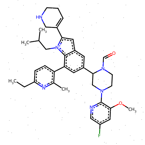 CCc1ccc(-c2cc(C3CN(c4ncc(F)cc4OC)CCN3C=O)cc3cc(C4=CCCNC4)n(CC(C)C)c23)c(C)n1